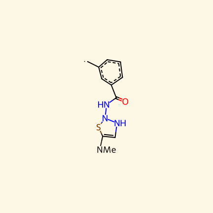 [CH2]c1cccc(C(=O)NN2NC=C(NC)S2)c1